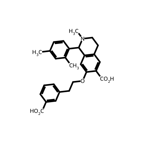 Cc1ccc(C2c3cc(OCCc4cccc(C(=O)O)c4)c(C(=O)O)cc3CCN2C)c(C)c1